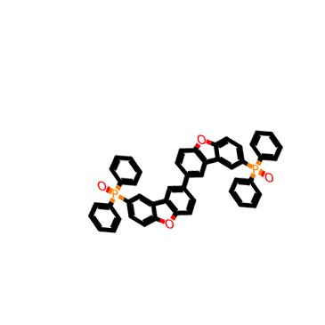 O=P(c1ccccc1)(c1ccccc1)c1ccc2oc3ccc(-c4ccc5oc6ccc(P(=O)(c7ccccc7)c7ccccc7)cc6c5c4)cc3c2c1